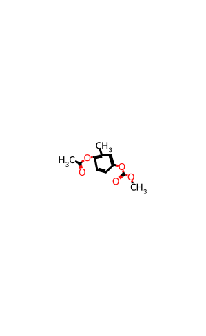 COC(=O)Oc1ccc(OC(C)=O)c(C)c1